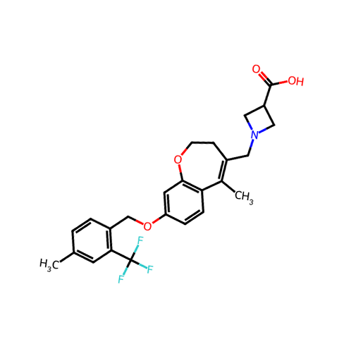 CC1=C(CN2CC(C(=O)O)C2)CCOc2cc(OCc3ccc(C)cc3C(F)(F)F)ccc21